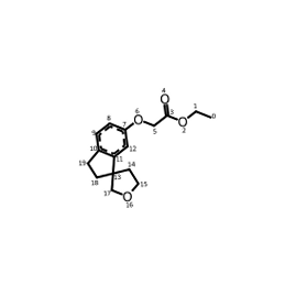 CCOC(=O)COc1ccc2c(c1)C1(CCOC1)CC2